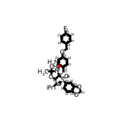 CC(C)C[C@H]1OC(C)(C)N(CN)[C@@]1(Cc1ccc(OCc2ccc(F)cc2)cc1)S(=O)(=O)c1ccc2c(c1)OCO2